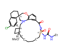 CCNC(=O)N[S@]1(=O)=NC(=O)c2ccc3c(c2)N(C[C@@H]2CC[C@H]2[C@@H](OC)CCCCC1)C[C@@]1(CCCc2cc(Cl)ccc21)CO3